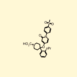 CCCc1ccccc1C1(Oc2ccn(-c3ccc(S(C)(=O)=O)cc3)c(=O)c2)CCN(C(=O)O)CC1